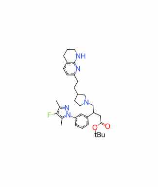 Cc1nn(-c2cccc(C(CC(=O)OC(C)(C)C)CN3CCC(CCc4ccc5c(n4)NCCC5)C3)c2)c(C)c1F